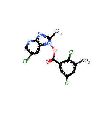 O=C(On1c(C(F)(F)F)nc2ncc(Cl)cc21)c1cc(Cl)cc([N+](=O)[O-])c1Cl